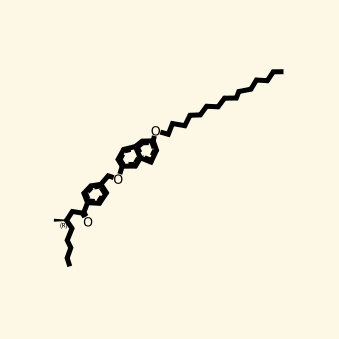 CCCCCCCCCCCCCCCOc1ccc2cc(OCc3ccc(C(=O)C[C@H](C)CCCCC)cc3)ccc2c1